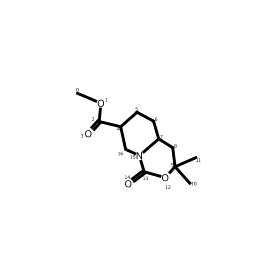 COC(=O)C1CCC2CC(C)(C)OC(=O)N2C1